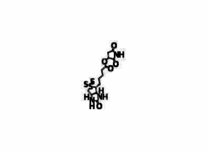 O=C1CC(OC(=O)CCCC[C@H]2[C@H]3NC(=O)N[C@H]3CS2(=S)=S)C(=O)N1